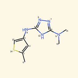 Cc1cc(Nc2nnc(N(C)C)[nH]2)cs1